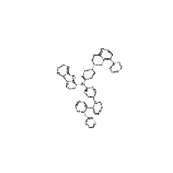 c1ccc(-c2ccccc2-c2ccccc2-c2ccc(N(c3ccc(-c4ccc5cccc(-c6ccccc6)c5c4)cc3)c3cccc4c3sc3ccccc34)cc2)cc1